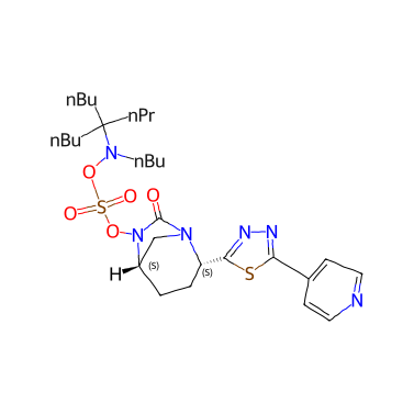 CCCCN(OS(=O)(=O)ON1C(=O)N2C[C@@H]1CC[C@H]2c1nnc(-c2ccncc2)s1)C(CCC)(CCCC)CCCC